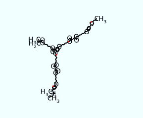 C=C(C)C(=O)OCCCCCCOC(=O)c1cc(OCCCCCCOC(=O)CCC(=O)OCCCCCCOc2ccc(C3CCC(CCC)CC3)cc2)ccc1OCCCCCCOC(=O)CCC(=O)OCCCCCCOc1ccc(C(C)[C@@H]2C[C@@H]2CCC)cc1